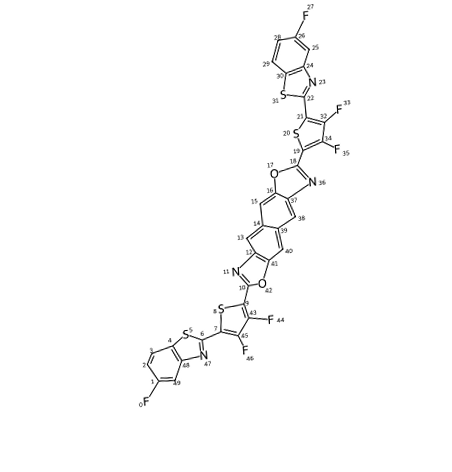 Fc1ccc2sc(-c3sc(-c4nc5cc6cc7oc(-c8sc(-c9nc%10cc(F)ccc%10s9)c(F)c8F)nc7cc6cc5o4)c(F)c3F)nc2c1